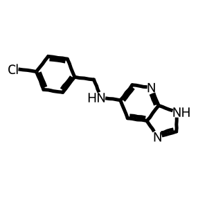 Clc1ccc(CNc2cnc3[nH]cnc3c2)cc1